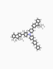 CC1CC(c2ccc3c(c2)C(C)(C)c2ccccc2-3)=CC=C1N(c1ccc(-c2ccc(-c3ccccc3)cc2)cc1)c1ccc(-c2ccc3c(c2)C(C)(C)c2ccccc2-3)cc1